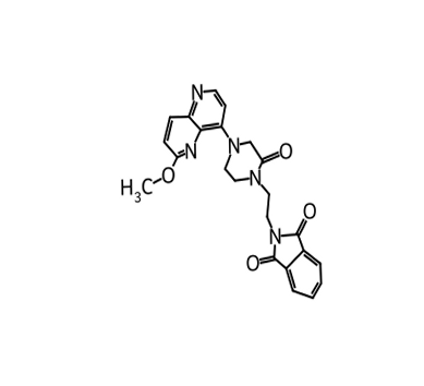 COc1ccc2nccc(N3CCN(CCN4C(=O)c5ccccc5C4=O)C(=O)C3)c2n1